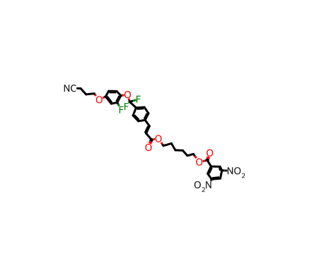 N#CCCCOc1ccc(OC(F)(F)c2ccc(C=CC(=O)OCCCCCCOC(=O)c3cc([N+](=O)[O-])cc([N+](=O)[O-])c3)cc2)c(F)c1